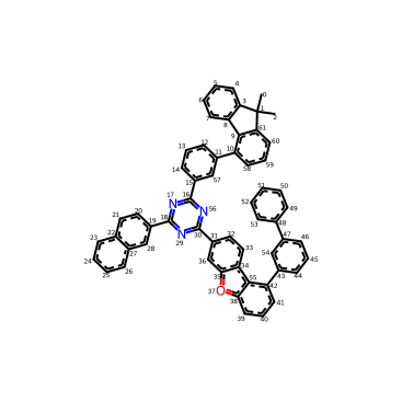 CC1(C)c2ccccc2-c2c(-c3cccc(-c4nc(-c5ccc6ccccc6c5)nc(-c5ccc6c(c5)oc5cccc(-c7cccc(-c8ccccc8)c7)c56)n4)c3)cccc21